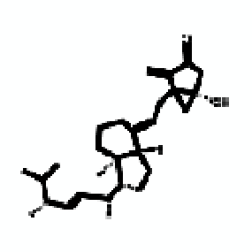 C=C1C(=O)C[C@@]2(O)CC12C/C=C1\CCC[C@]2(C)[C@@H]([C@H](C)/C=C/[C@H](C)C(C)C)CC[C@@H]12